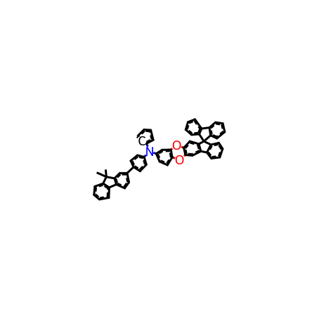 CC1(C)c2ccccc2-c2ccc(-c3ccc(N(c4ccccc4)c4ccc5c(c4)Oc4cc6c(cc4O5)-c4ccccc4C64c5ccccc5-c5ccccc54)cc3)cc21